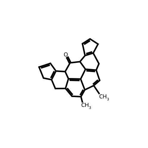 Cc1cc2c3c4c5c(cc(C)c14)CC1=C(C=CC1)C5C(=O)C3C1=C(CC=C1)C2